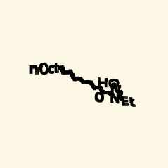 CCCCCCCCC=CCCCCCCCC(=O)C1=NC(CC)CN1O